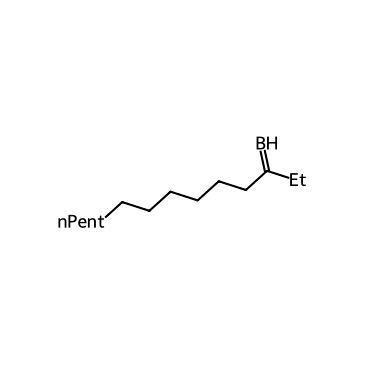 B=C(CC)CCCCCCCCCCC